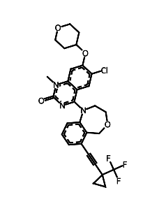 Cn1c(=O)nc(N2CCOCc3c(C#CC4(C(F)(F)F)CC4)cccc32)c2cc(Cl)c(OC3CCOCC3)cc21